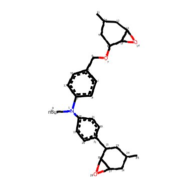 CCCCN(c1ccc(COC2CC(C)CC3OC23)cc1)c1ccc(C2CC(C)CC3OC32)cc1